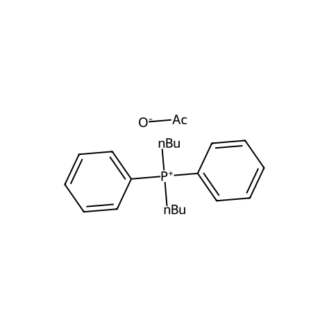 CC(=O)[O-].CCCC[P+](CCCC)(c1ccccc1)c1ccccc1